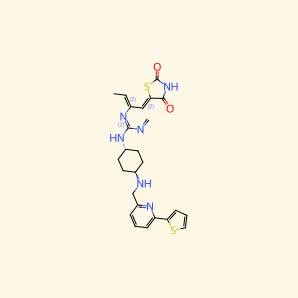 C=N\C(=N/C(=C\C)/C=C1\SC(=O)NC1=O)N[C@H]1CC[C@H](NCc2cccc(-c3cccs3)n2)CC1